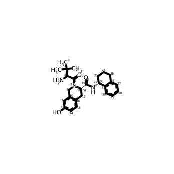 CC(C)(C)C(N)C(=O)N1Cc2cc(O)ccc2C[C@H]1C(=O)N[C@@H]1CCCc2ccccc21